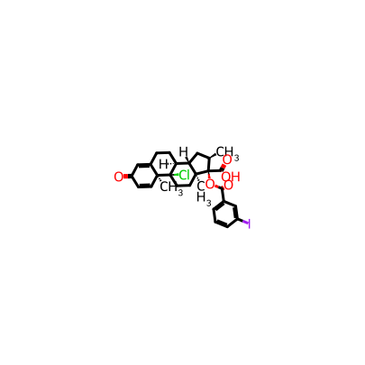 C[C@@H]1C[C@H]2[C@@H]3CCC4=CC(=O)C=C[C@]4(C)[C@@]3(Cl)CC[C@]2(C)[C@@]1(OC(=O)c1cccc(I)c1)C(=O)O